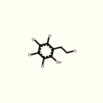 Oc1c(Cl)c(Cl)c(Cl)c(Cl)c1CCCl